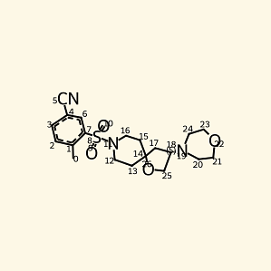 Cc1ccc(C#N)cc1S(=O)(=O)N1CCC2(CC1)C[C@H](N1CCOCC1)CO2